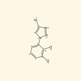 [2H]c1cn(-c2cccc(Cl)c2Cl)nn1